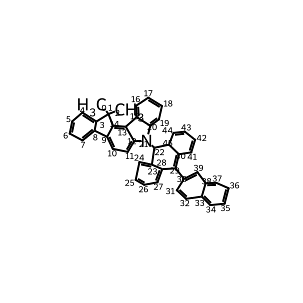 CC1(C)c2ccccc2-c2ccc3c(c21)c1ccccc1n3C1c2ccccc2C(c2ccc3ccccc3c2)=C2C=CC=CC21